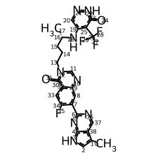 Cc1c[nH]c2nc(-c3cc4ncn(CCC[C@H](C)Nc5cn[nH]c(=O)c5C(F)(F)F)c(=O)c4cc3F)ncc12